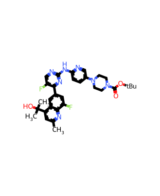 Cc1cc(C(C)(C)O)c2cc(-c3nc(Nc4ccc(N5CCN(C(=O)OC(C)(C)C)CC5)cn4)ncc3F)cc(F)c2n1